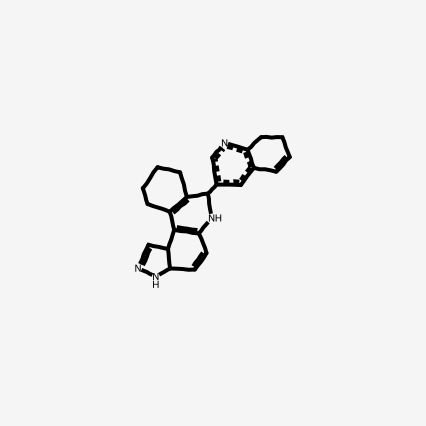 C1=Cc2cc(C3NC4=C(C5=C3CCCC5)C3C=NNC3C=C4)cnc2CC1